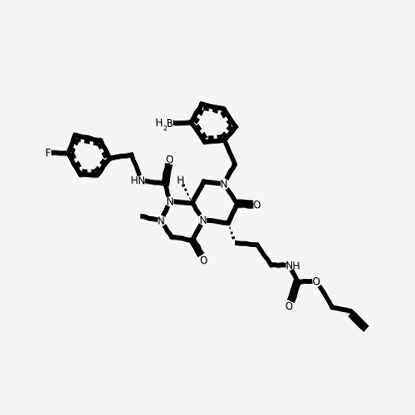 Bc1cccc(CN2C[C@H]3N(C(=O)CN(C)N3C(=O)NCc3ccc(F)cc3)[C@@H](CCCNC(=O)OCC=C)C2=O)c1